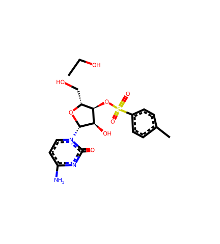 CCO.Cc1ccc(S(=O)(=O)O[C@H]2[C@@H](O)[C@H](n3ccc(N)nc3=O)O[C@@H]2CO)cc1